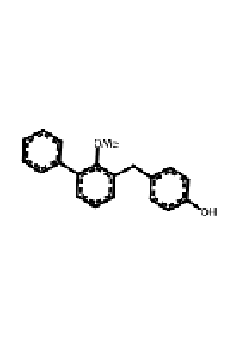 COc1c(Cc2ccc(O)cc2)cccc1-c1ccccc1